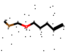 C=CC[CH]COCSC